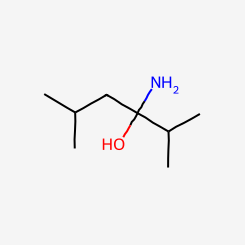 CC(C)CC(N)(O)C(C)C